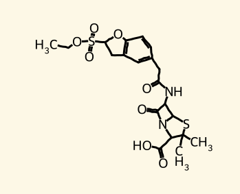 CCOS(=O)(=O)C1Cc2cc(CC(=O)NC3C(=O)N4C3SC(C)(C)C4C(=O)O)ccc2O1